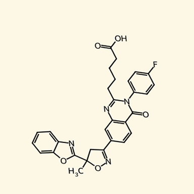 CC1(c2nc3ccccc3o2)CC(c2ccc3c(=O)n(-c4ccc(F)cc4)c(CCCCC(=O)O)nc3c2)=NO1